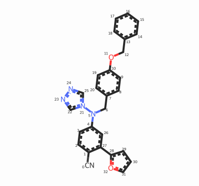 N#Cc1ccc(N(Cc2ccc(OCc3ccccc3)cc2)n2cnnc2)cc1-c1ccco1